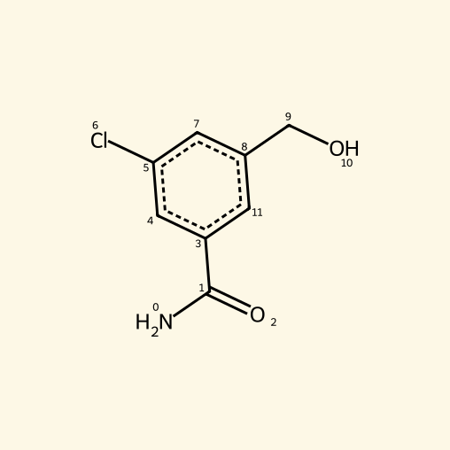 NC(=O)c1cc(Cl)cc(CO)c1